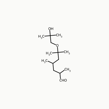 CC(C=O)CC(C)CC(C)(C)OCC(C)(C)O